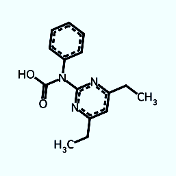 CCc1cc(CC)nc(N(C(=O)O)c2ccccc2)n1